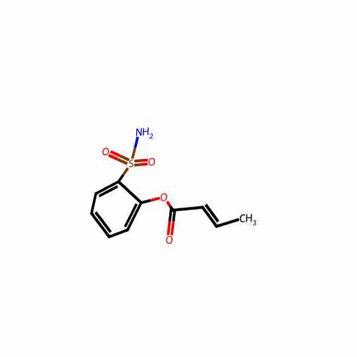 CC=CC(=O)Oc1ccccc1S(N)(=O)=O